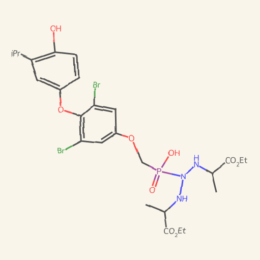 CCOC(=O)C(C)NN(NC(C)C(=O)OCC)P(=O)(O)COc1cc(Br)c(Oc2ccc(O)c(C(C)C)c2)c(Br)c1